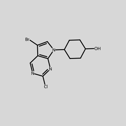 OC1CCC(n2cc(Br)c3cnc(Cl)nc32)CC1